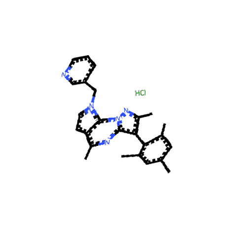 Cc1cc(C)c(-c2c(C)nn3c2nc(C)c2ccn(Cc4cccnc4)c23)c(C)c1.Cl